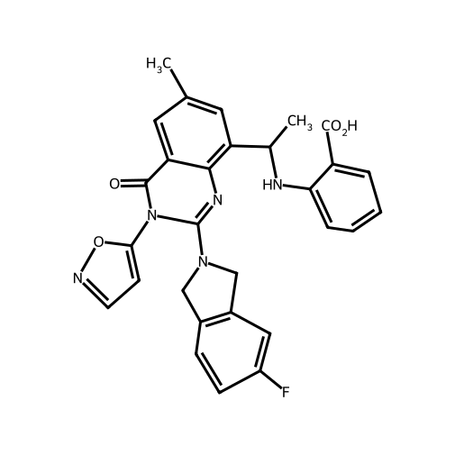 Cc1cc(C(C)Nc2ccccc2C(=O)O)c2nc(N3Cc4ccc(F)cc4C3)n(-c3ccno3)c(=O)c2c1